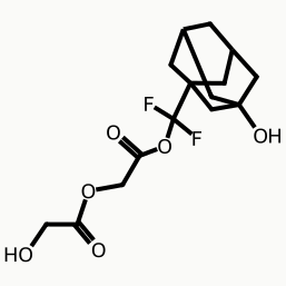 O=C(CO)OCC(=O)OC(F)(F)C12CC3CC(CC(O)(C3)C1)C2